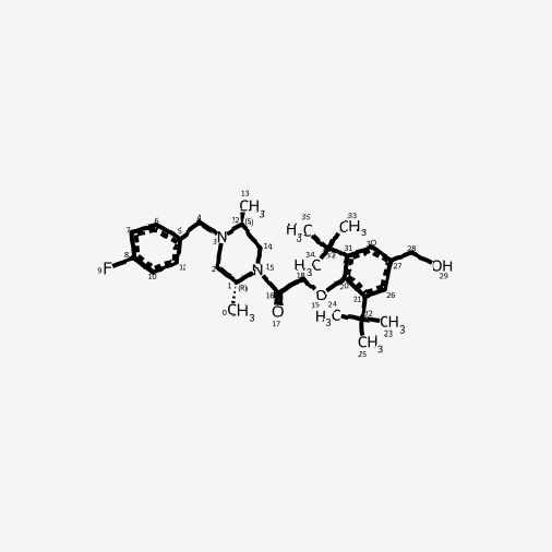 C[C@@H]1CN(Cc2ccc(F)cc2)[C@@H](C)CN1C(=O)COc1c(C(C)(C)C)cc(CO)cc1C(C)(C)C